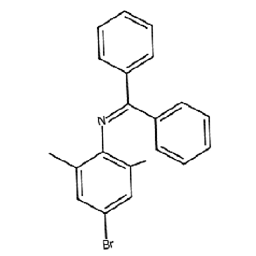 Cc1cc(Br)cc(C)c1N=C(c1ccccc1)c1ccccc1